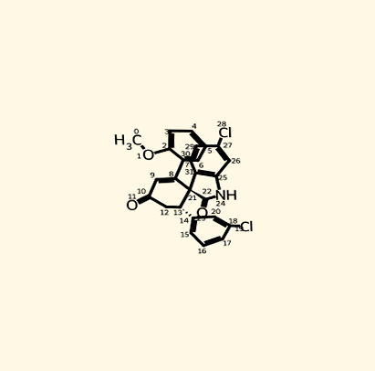 COc1ccccc1C1=CC(=O)C[C@@H](c2cccc(Cl)c2)[C@]12C(=O)Nc1cc(Cl)ccc12